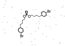 O=[PH](OCCCCc1ccc(Br)cc1)OCCCCc1ccc(Br)cc1